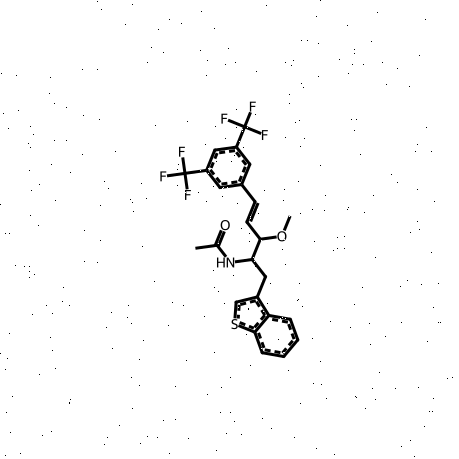 COC(C=Cc1cc(C(F)(F)F)cc(C(F)(F)F)c1)C(Cc1csc2ccccc12)NC(C)=O